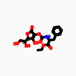 CCOC(=O)C(Cc1ccccc1)NC(=O)OC1=C(O)[C@@H]([C@@H](O)CO)OC1=O